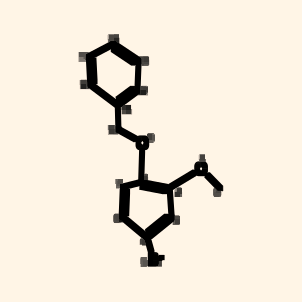 COc1cc(Br)[c]cc1OCc1ccccc1